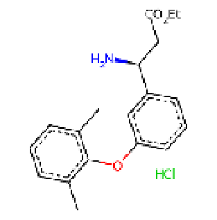 CCOC(=O)C[C@H](N)c1cccc(Oc2c(C)cccc2C)c1.Cl